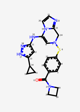 O=C(c1ccc(SN2C=C(Nc3cc(C4CC4)[nH]n3)[N+]3C=CN=C3C2)cc1)N1CCC1